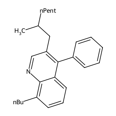 CCCCCC(C)Cc1cnc2c(CCCC)cccc2c1-c1ccccc1